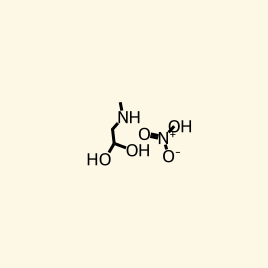 CNCC(O)O.O=[N+]([O-])O